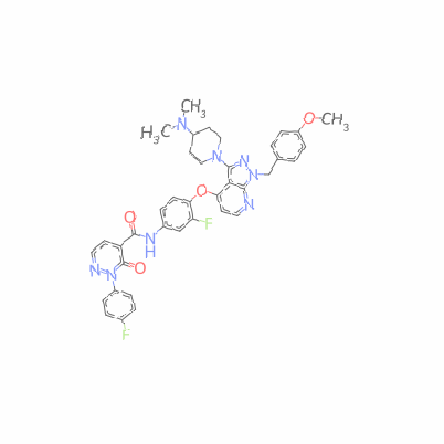 COc1ccc(Cn2nc(N3CCC(N(C)C)CC3)c3c(Oc4ccc(NC(=O)c5ccnn(-c6ccc(F)cc6)c5=O)cc4F)ccnc32)cc1